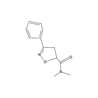 CN(C)C(=O)C1CC(c2ccccc2)=NO1